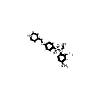 Cc1ccc(N(CC(C)C)S(=O)(=O)c2ccc(OCC3CCNCC3)cc2)c(C)c1